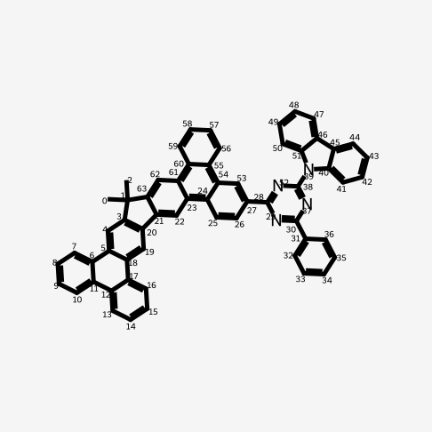 CC1(C)c2cc3c4ccccc4c4ccccc4c3cc2-c2cc3c4ccc(-c5nc(-c6ccccc6)nc(-n6c7ccccc7c7ccccc76)n5)cc4c4ccccc4c3cc21